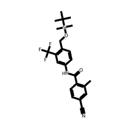 Cc1cc(C#N)ccc1C(=O)Nc1ccc(CO[Si](C)(C)C(C)(C)C)c(C(F)(F)F)c1